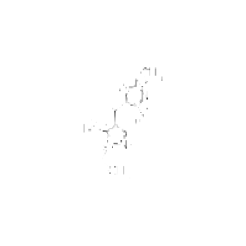 CCn1ncc(Cc2nn(C)nc2I)c1Br